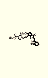 COc1ccc2c(c1C=CCN1CCN(C(=O)OC(C)(C)C)CC1)OC(=Cc1n[nH]c3ccccc13)C2=O